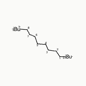 CC[C](C)CCCCCCCC[C](C)CC